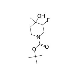 CC(C)(C)OC(=O)N1CCC(C)(O)C(F)C1